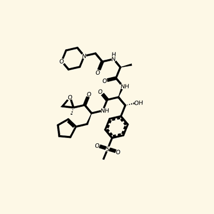 C[C@H](NC(=O)CN1CCOCC1)C(=O)N[C@H](C(=O)N[C@@H](CC1=CCCC1)C(=O)[C@@]1(C)CO1)[C@H](O)c1ccc(S(C)(=O)=O)cc1